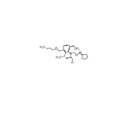 CCCCOCc1ccc(CC)c(N(CON=C2CCCC2)C(=O)CCl)c1CC